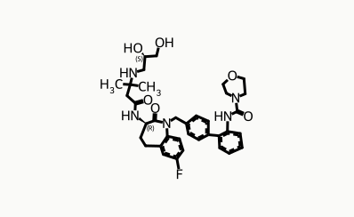 CC(C)(CC(=O)N[C@@H]1CCc2cc(F)ccc2N(Cc2ccc(-c3ccccc3NC(=O)N3CCOCC3)cc2)C1=O)NC[C@H](O)CO